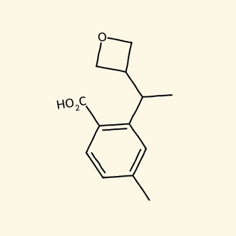 Cc1ccc(C(=O)O)c(C(C)C2COC2)c1